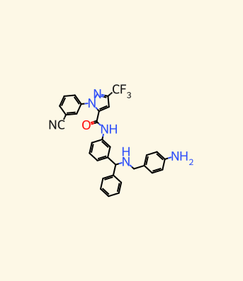 N#Cc1cccc(-n2nc(C(F)(F)F)cc2C(=O)Nc2cccc(C(NCc3ccc(N)cc3)c3ccccc3)c2)c1